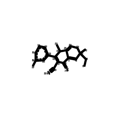 CCC1(C)C=C2C(=S)C(C#N)=C(c3cccc(C)c3)C(C)C2=CC1